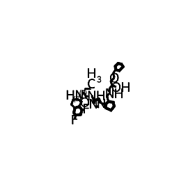 CCC[C@H](N[C@H]1CCc2cc(F)cc(F)c2C1)C(=O)Nc1cn(-c2ccccc2CNCC(O)COCc2ccccc2)cn1